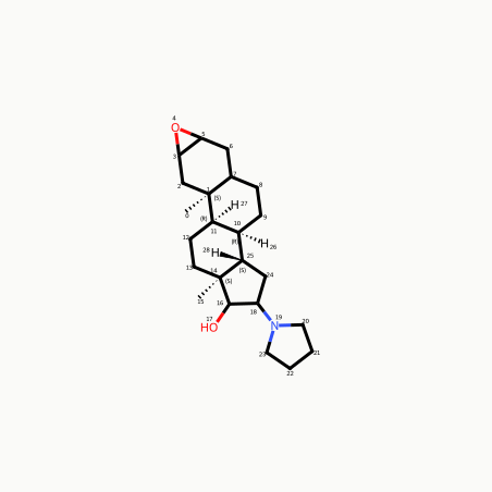 C[C@]12CC3OC3CC1CC[C@@H]1[C@H]2CC[C@]2(C)C(O)C(N3CCCC3)C[C@@H]12